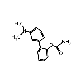 CN(C)c1cccc(-c2ccccc2OC(N)=O)c1